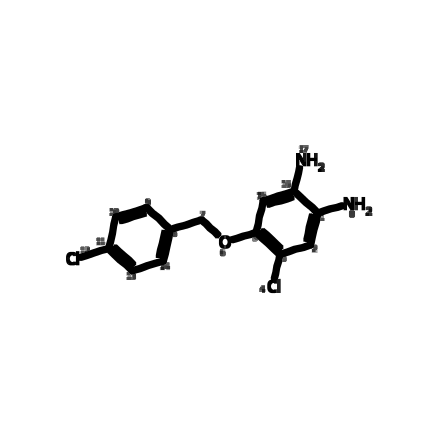 Nc1cc(Cl)c(OCc2ccc(Cl)cc2)cc1N